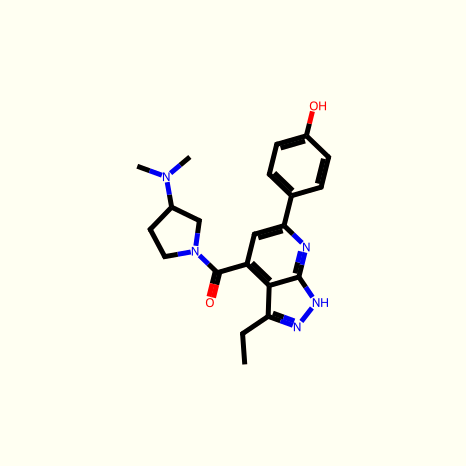 CCc1n[nH]c2nc(-c3ccc(O)cc3)cc(C(=O)N3CCC(N(C)C)C3)c12